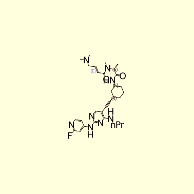 CCCNc1nc(Nc2ccnc(F)c2)ncc1C#C[C@@H]1CCC[C@H](NC(=O)[C@H](C)N(C)C(=O)/C=C/CN(C)C)C1